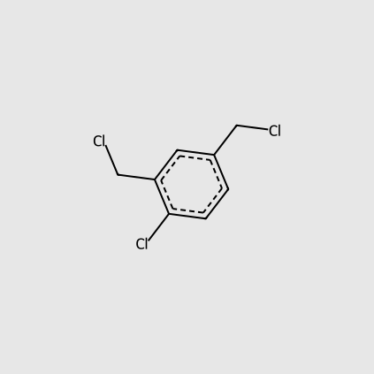 ClCc1ccc(Cl)c(CCl)c1